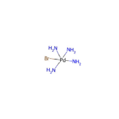 [NH2][Pd]([NH2])([NH2])([NH2])[Br]